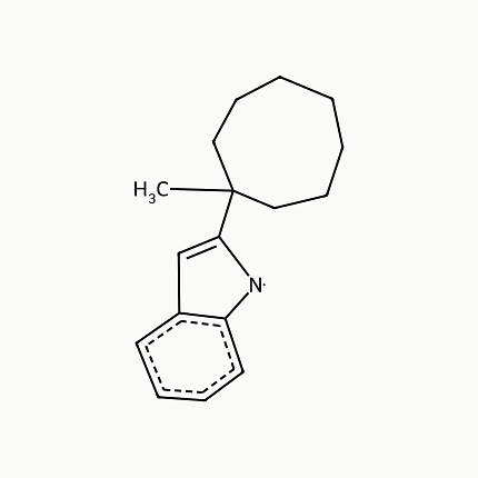 CC1(C2=Cc3ccccc3[N]2)CCCCCCC1